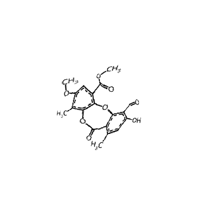 COC(=O)c1cc(OC)c(C)c2c1Oc1c(C=O)c(O)cc(C)c1C(=O)O2